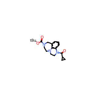 CC(C)(C)OC(=O)N1CCN2CCN(C(=O)C3CC3)c3cccc(c32)C1